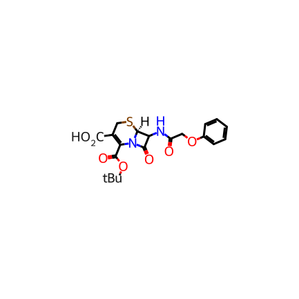 CC(C)(C)OC(=O)C1=C(C(=O)O)CS[C@H]2C(NC(=O)COc3ccccc3)C(=O)N12